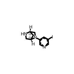 Ic1cncc(N2C[C@@H]3C[C@H]2CN3)c1